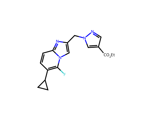 CCOC(=O)c1cnn(Cc2cn3c(F)c(C4CC4)ccc3n2)c1